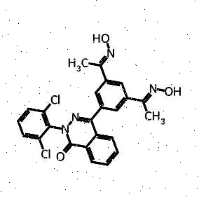 C/C(=N\O)c1cc(/C(C)=N/O)cc(-c2nn(-c3c(Cl)cccc3Cl)c(=O)c3ccccc23)c1